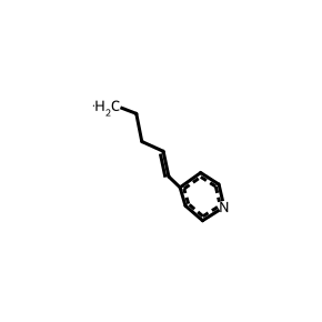 [CH2]CCC=Cc1ccncc1